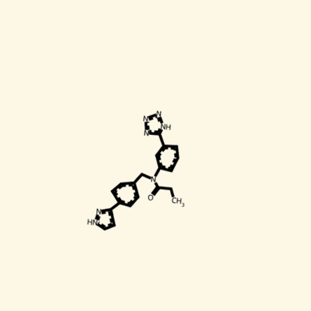 CCC(=O)N(Cc1ccc(-c2cc[nH]n2)cc1)c1cccc(-c2nnn[nH]2)c1